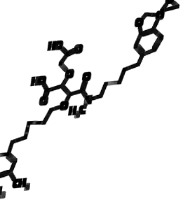 C1CO1.Cc1ccc(CCCCCOC(C(=O)N(C)CCCCCc2ccc3c(c2)OCO3)C(OCC(=O)O)C(=O)O)cc1C